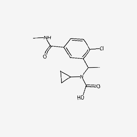 CNC(=O)c1ccc(Cl)c(C(C)N(C(=O)O)C2CC2)c1